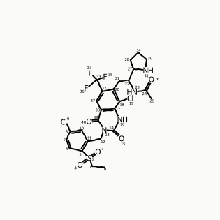 CCS(=O)(=O)c1ccc(Cl)cc1Cn1c(=O)[nH]c2c(Cl)c(C[C@H](NC(C)=O)C3CCCN3)c(C(F)(F)F)cc2c1=O